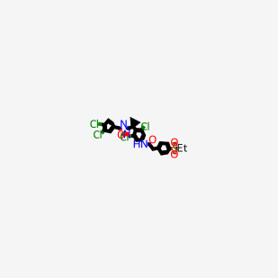 CCS(=O)(=O)c1ccc(CC(=O)Nc2cc(Cl)c(C3(c4noc(-c5ccc(Cl)c(Cl)c5)n4)CC3)c(Cl)c2)cc1